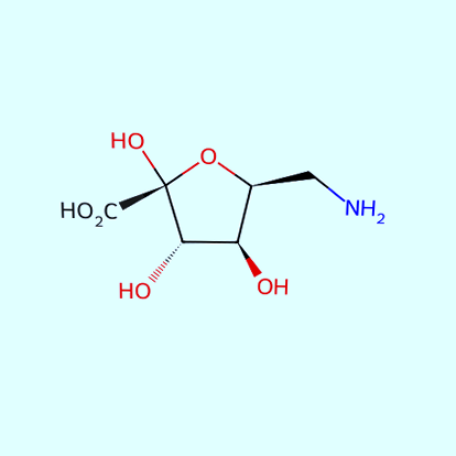 NC[C@@H]1O[C@](O)(C(=O)O)[C@@H](O)[C@@H]1O